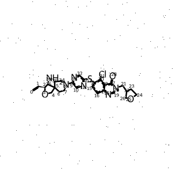 C=C[C@@H]1OCC2(CCN(c3cnc(Sc4ccc5ncn(CC6CCOC6)c(=O)c5c4Cl)cn3)CC2)[C@@H]1N